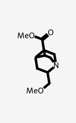 COCC1CC2CCN1CC2C(=O)OC